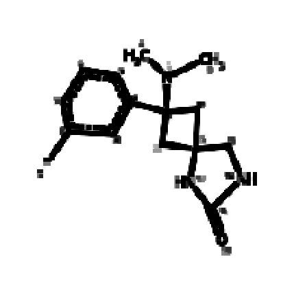 CN(C)[C@]1(c2cccc(F)c2)C[C@]2(CNC(=O)N2)C1